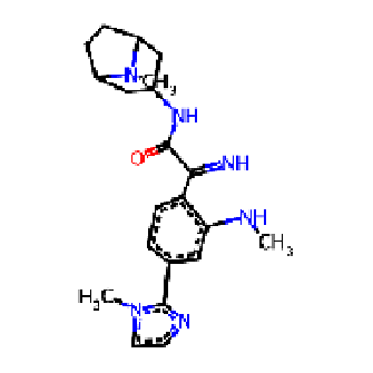 CNc1cc(-c2nccn2C)ccc1C(=N)C(=O)NC1CC2CCC(C1)N2C